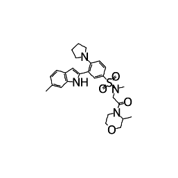 Cc1ccc2cc(-c3cc(S(=O)(=O)N(C)CC(=O)N4CCOCC4C)ccc3N3CCCC3)[nH]c2c1